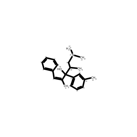 CC(=Cc1ccccc1)C(O)(c1cccc(C)c1)C(C)CN(C)C